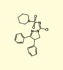 O=S(=O)(/N=C(/Cl)N1CC(c2ccccc2)C(c2ccccc2)=N1)N1CCCCC1